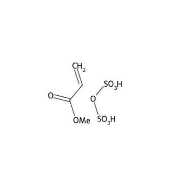 C=CC(=O)OC.O=S(=O)(O)OS(=O)(=O)O